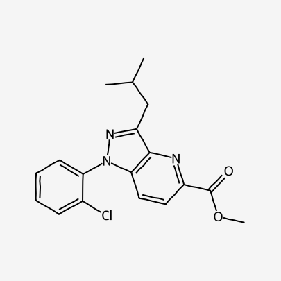 COC(=O)c1ccc2c(n1)c(CC(C)C)nn2-c1ccccc1Cl